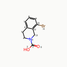 O=C(O)N1CCc2cccc(Br)c2C1